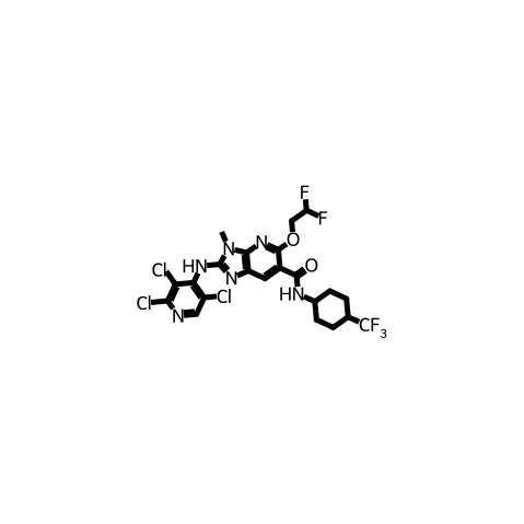 Cn1c(Nc2c(Cl)cnc(Cl)c2Cl)nc2cc(C(=O)NC3CCC(C(F)(F)F)CC3)c(OCC(F)F)nc21